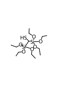 CCO[Si](OCC)(OCC)C(S)[Si](OCC)(OCC)OCC